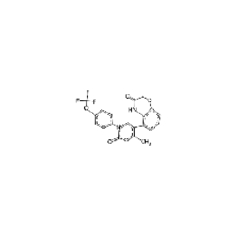 Cc1cc(=O)n(-c2ccc(OC(F)(F)F)cc2)cc1-c1cccc2c1NC(=O)CO2